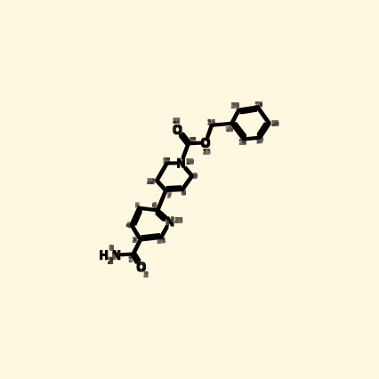 NC(=O)c1ccc(C2=CCN(C(=O)OCc3ccccc3)CC2)nc1